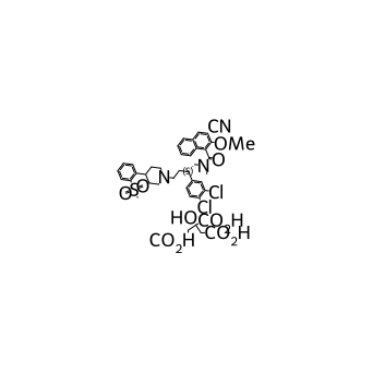 COc1c(C#N)cc2ccccc2c1C(=O)N(C)C[C@@H](CCN1CCC(c2ccccc2S(C)(=O)=O)CC1)c1ccc(Cl)c(Cl)c1.O=C(O)CC(O)(CC(=O)O)C(=O)O